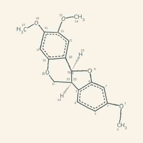 COc1ccc2c(c1)O[C@@H]1c3cc(OC)c(OC)cc3OC[C@H]21